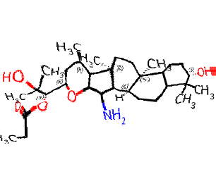 CCC(=O)O[C@@H]([C@H]1C[C@@H](C)C2C(O1)C(N)C1[C@@H]3CCC4C(CC[C@H](O)C4(C)C)[C@]3(C)CC[C@]21C)C(C)(C)O